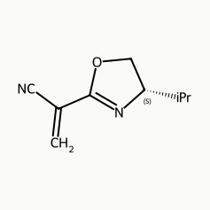 C=C(C#N)C1=N[C@@H](C(C)C)CO1